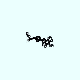 CCCn1c(=O)c2[nH]c(C34CCC(CCC(=O)OCCl)(CC3)CC4)nc2n(CCC)c1=O